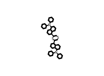 C1=C(c2cccc3c(N(c4ccccc4)c4ccccc4)cccc23)SC(c2cccc3c(N(c4ccccc4)c4ccccc4)cccc23)=CS1